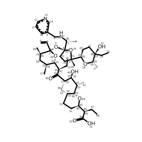 C=C[C@@]1(O[C@]2([C@@H](C)NCc3cccnc3)CC[C@@](C)([C@H]3CC[C@](O)(CC)[C@H](C)O3)O2)O[C@H]([C@@H](CC)C(=O)[C@@H](C)[C@@H](O)[C@H](C)[C@@H]2O[C@@H]([C@@H](CC)C(=O)O)CC[C@@H]2C)[C@@H](C)C[C@H]1C